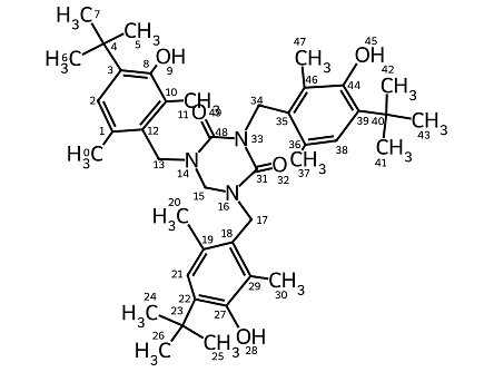 Cc1cc(C(C)(C)C)c(O)c(C)c1CN1CN(Cc2c(C)cc(C(C)(C)C)c(O)c2C)C(=O)N(Cc2c(C)cc(C(C)(C)C)c(O)c2C)C1=O